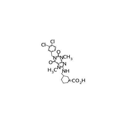 Cn1c(NCC2CCC[C@@H](C(=O)O)C2)nc2c1c(=O)n(Cc1ccc(Cl)c(Cl)c1)c(=O)n2C